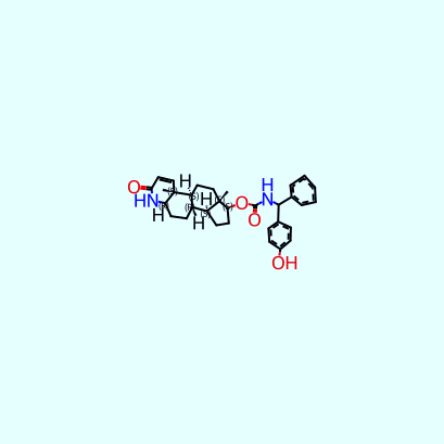 C[C@]12C=CC(=O)N[C@@H]1CC[C@@H]1[C@@H]2CC[C@]2(C)[C@@H](OC(=O)NC(c3ccccc3)c3ccc(O)cc3)CC[C@@H]12